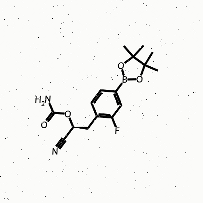 CC1(C)OB(c2ccc(C[C@@H](C#N)OC(N)=O)c(F)c2)OC1(C)C